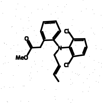 CC=CCN(c1ccccc1CC(=O)OC)c1c(Cl)cccc1Cl